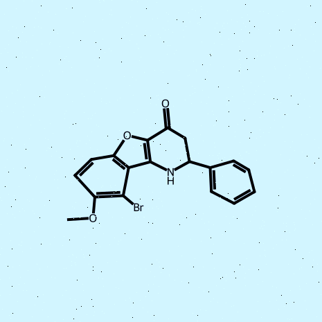 COc1ccc2oc3c(c2c1Br)NC(c1ccccc1)CC3=O